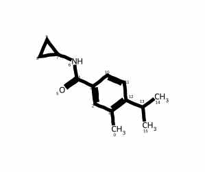 Cc1cc(C(=O)NC2CC2)ccc1C(C)C